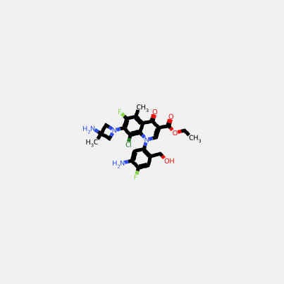 CCOC(=O)c1cn(-c2cc(N)c(F)cc2CO)c2c(Cl)c(N3CC(C)(N)C3)c(F)c(C)c2c1=O